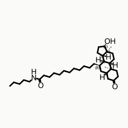 CCCCCNC(=O)CCCCCCCCCCC[C@@H]1C[C@H]2CC(=O)CC[C@]2(C)[C@H]2CC[C@]3(C)[C@@H](O)CC[C@H]3[C@H]12